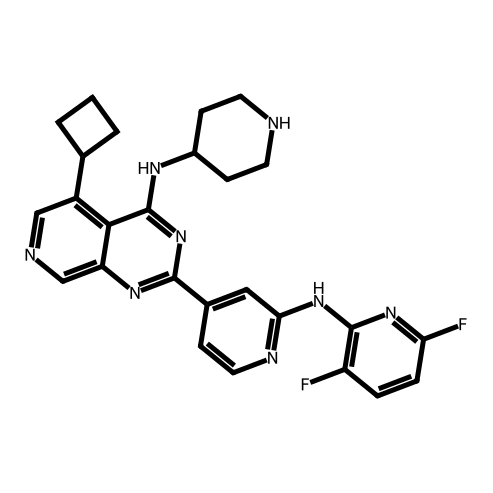 Fc1ccc(F)c(Nc2cc(-c3nc(NC4CCNCC4)c4c(C5CCC5)cncc4n3)ccn2)n1